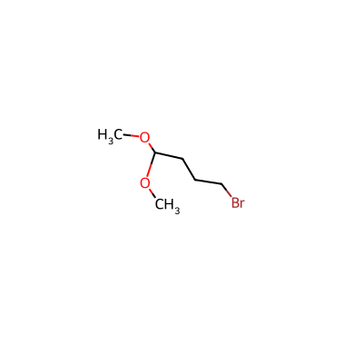 COC(CCCBr)OC